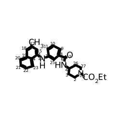 CCOC(=O)N1CCC(NC(=O)c2cccc(Nc3cc(C)cc4ccccc34)c2)CC1